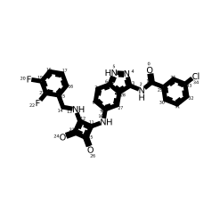 O=C(Nc1n[nH]c2ccc(Nc3c(NCc4cccc(F)c4F)c(=O)c3=O)cc12)c1cccc(Cl)c1